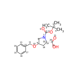 CC(C)(C)OC(=O)N1CC(OCc2ccccc2)C[C@H]1C(=O)O